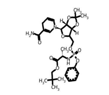 C[C@H](NP(=O)(OCC1O[C@@H](N2C=CCC(C(N)=O)=C2)[C@@H]2OC(C)(C)O[C@H]12)Oc1ccccc1)C(=O)OCC(C)(C)C